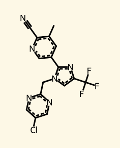 Cc1cc(-c2nc(C(F)(F)F)cn2Cc2ncc(Cl)cn2)cnc1C#N